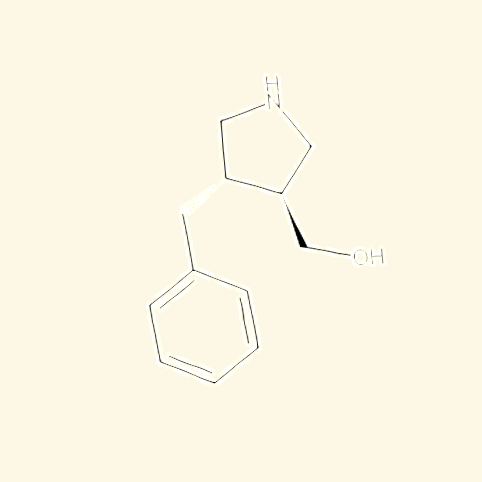 OC[C@@H]1CNC[C@H]1Cc1ccccc1